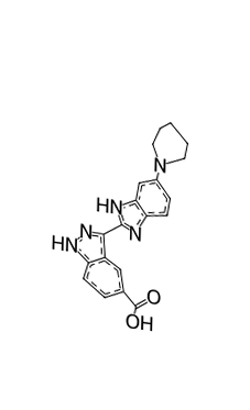 O=C(O)c1ccc2[nH]nc(-c3nc4ccc(N5CCCCC5)cc4[nH]3)c2c1